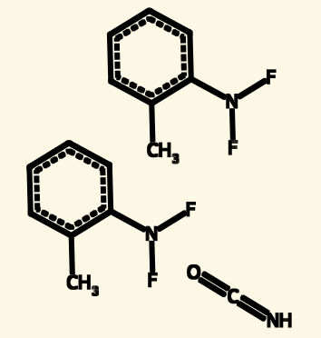 Cc1ccccc1N(F)F.Cc1ccccc1N(F)F.N=C=O